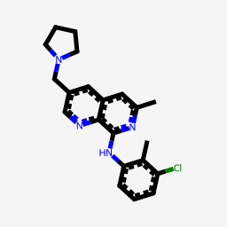 Cc1cc2cc(CN3CCCC3)cnc2c(Nc2cccc(Cl)c2C)n1